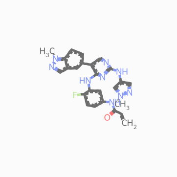 C=CC(=O)Nc1ccc(F)c(Nc2nc(Nc3cnn(C)c3)ncc2-c2ccc3c(cnn3C)c2)c1